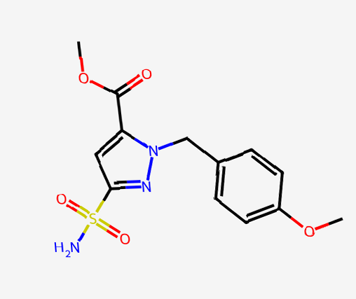 COC(=O)c1cc(S(N)(=O)=O)nn1Cc1ccc(OC)cc1